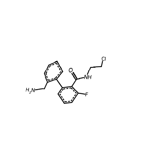 NCc1ccccc1-c1cccc(F)c1C(=O)NCCCl